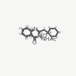 CC(=O)Nn1c(CC2(O)CCCCC2)nc2ccccc2c1=O